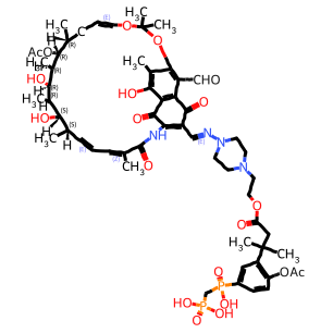 CC(=O)Oc1ccc(P(=O)(O)CP(=O)(O)O)cc1C(C)(C)CC(=O)OCCN1CCN(/N=C/C2=C3NC(=O)/C(C)=C\C=C\[C@H](C)[C@H](O)[C@@H](C)[C@@H](O)[C@@H](C)[C@H](OC(C)=O)[C@H](C)C/C=C/OC(C)(C)Oc4c(C)c(O)c(c(c4C=O)C2=O)C3=O)CC1